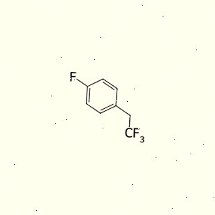 Fc1ccc(CC(F)(F)F)cc1